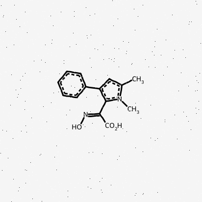 Cc1cc(-c2ccccc2)c(C(=NO)C(=O)O)n1C